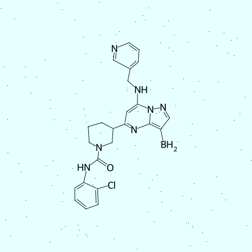 Bc1cnn2c(NCc3cccnc3)cc(C3CCCN(C(=O)Nc4ccccc4Cl)C3)nc12